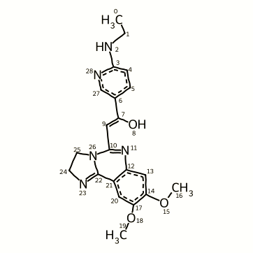 CCNc1ccc(/C(O)=C/C2=Nc3cc(OC)c(OC)cc3C3=NCCN23)cn1